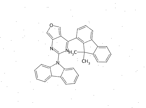 CC1(C)c2ccccc2-c2cccc(-c3nc(-n4c5ccccc5c5ccccc54)nc4cocc34)c21